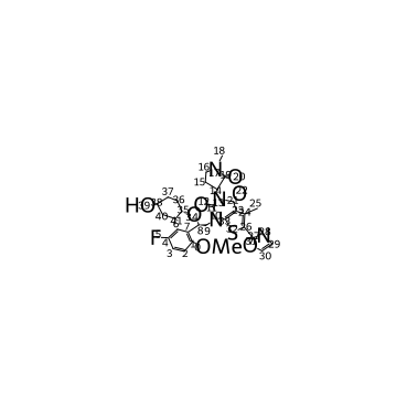 COc1ccc(F)cc1[C@H](Cn1c(=O)n([C@@H]2CCN(C)C2=O)c(=O)c2c(C)c(-c3ncco3)sc21)O[C@H]1CC[C@H](O)CC1